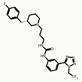 O=C(NCCCN1CCC[C@@H](Cc2ccc(F)cc2)C1)Nc1cccc(-c2nnnn2CC(F)(F)F)c1